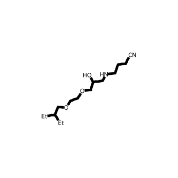 CCC(CC)COCCOCC(O)CNCCCC#N